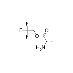 C[C@H](N)C(=O)OCC(F)(F)F